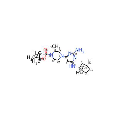 CC1CN(c2cc(N[C@@H]3C[C@H]4CC[C@@H]3C4)nc(N)n2)CCN1C(=O)OC(C)(C)C